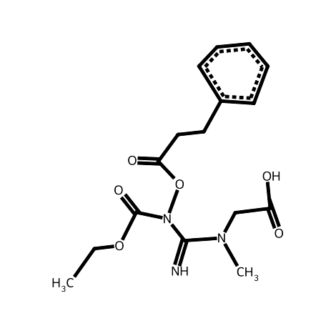 CCOC(=O)N(OC(=O)CCc1ccccc1)C(=N)N(C)CC(=O)O